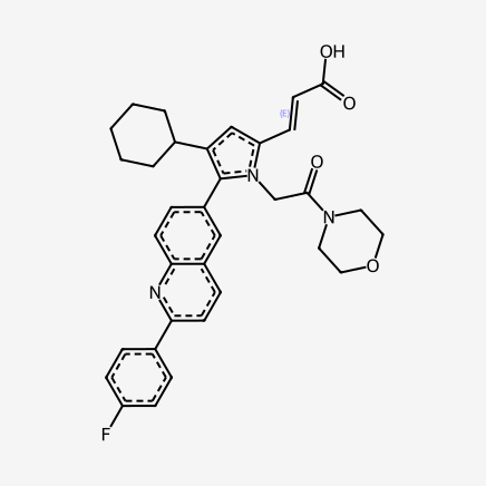 O=C(O)/C=C/c1cc(C2CCCCC2)c(-c2ccc3nc(-c4ccc(F)cc4)ccc3c2)n1CC(=O)N1CCOCC1